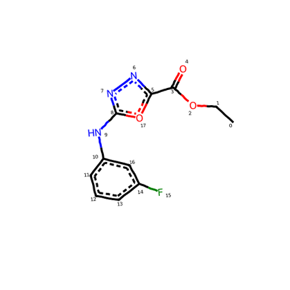 CCOC(=O)c1nnc(Nc2cccc(F)c2)o1